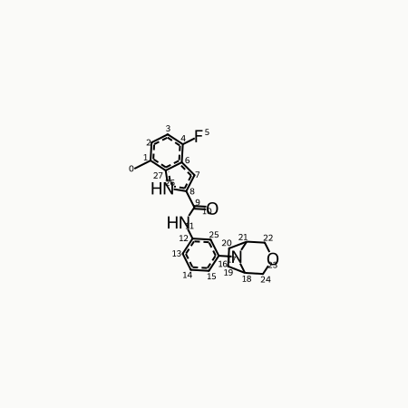 Cc1ccc(F)c2cc(C(=O)Nc3cccc(N4C5CCC4COC5)c3)[nH]c12